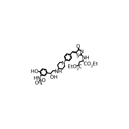 CCOC(=O)CC[C@H](NC1=NC(=O)C(=Cc2ccc(N3CCC(NC[C@H](O)c4ccc(O)c(NS(C)(=O)=O)c4)CC3)cc2)S1)C(=O)OCC